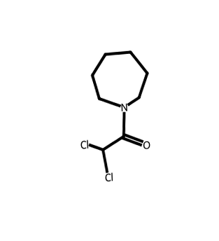 O=C(C(Cl)Cl)N1CCCCCC1